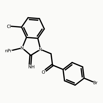 CCCn1c(=N)n(CC(=O)c2ccc(Br)cc2)c2cccc(Cl)c21